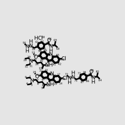 CCN(CC)CCCC(C)Nc1c2ccc(Cl)cc2nc2ccc(OC)cc12.CCN(CC)CCCC(C)Nc1c2ccc(Cl)cc2nc2ccc(OC)cc12.CNNCc1ccc(C(=O)NC(C)C)cc1.CNNCc1ccc(C(=O)NC(C)C)cc1.Cl